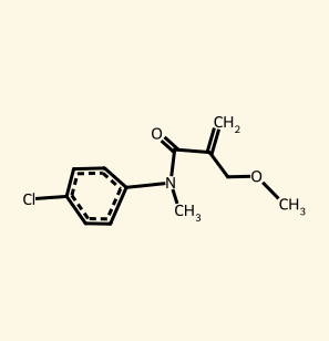 C=C(COC)C(=O)N(C)c1ccc(Cl)cc1